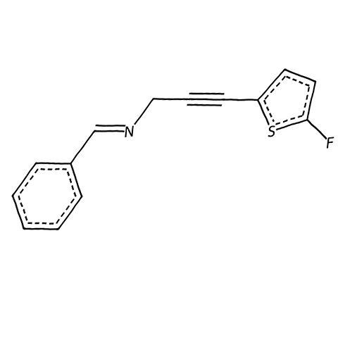 Fc1ccc(C#CCN=Cc2ccccc2)s1